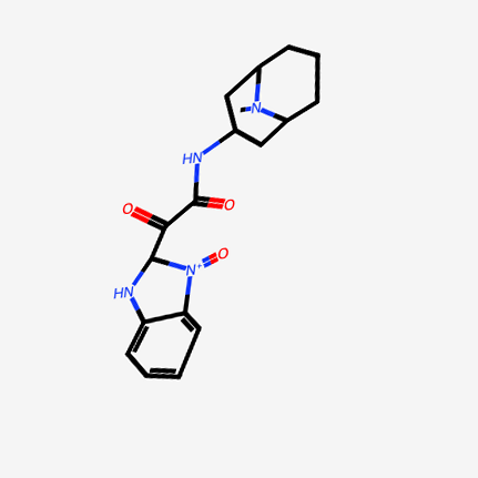 CN1C2CCCC1CC(NC(=O)C(=O)C1Nc3ccccc3[N+]1=O)C2